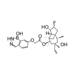 C=C[C@]1(C)C[C@@H](OC(=O)COc2ccc3c(c2)B(O)NN=C3)[C@]2(C)[C@H](C)CC[C@]3(C[C@H](F)C(O)[C@H]32)[C@@H](C)[C@@H]1O